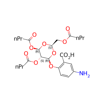 CCCC(=O)OC[C@H]1O[C@@H](Oc2ccc(N)cc2C(=O)O)[C@H](OC(=O)CCC)[C@@H](OC(=O)CCC)O1